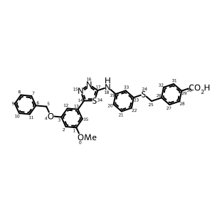 COc1cc(OCc2ccccc2)cc(-c2nnc(Nc3cccc(SCc4ccc(C(=O)O)cc4)c3)s2)c1